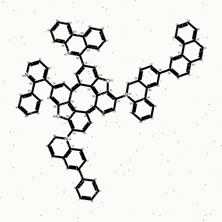 C1=Cc2cc(-c3ccccc3)ccc2N(c2ccc3c4ccc(N5Cc6ccc(-c7ccc8ccc9ccccc9c8c7)cc6-c6ccccc65)c5oc6cc(-c7nc8ccccc8c8ccccc78)cc(c7cc(-c8cccnc8-c8ccccc8)cc8oc2c3c87)c6c54)C1